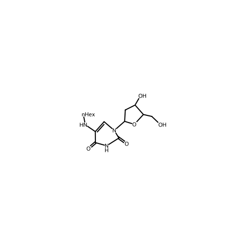 CCCCCCNc1cn(C2CC(O)C(CO)O2)c(=O)[nH]c1=O